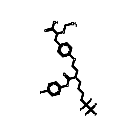 CCOC(Cc1ccc(OCCN(CCCCC(F)(F)C(F)(F)F)C(=O)Oc2ccc(F)cc2)cc1)C(=O)O